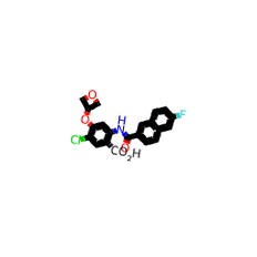 O=C(Nc1cc(OC2COC2)c(Cl)cc1C(=O)O)c1ccc2cc(F)ccc2c1